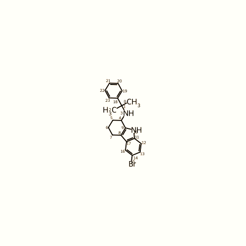 CC(C)(NC1CCCc2c1[nH]c1ccc(Br)cc21)c1ccccc1